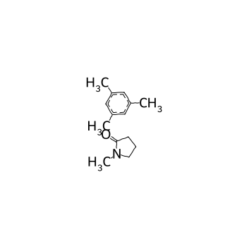 CN1CCCC1=O.Cc1cc(C)cc(C)c1